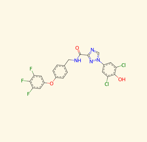 O=C(NCc1ccc(Oc2cc(F)c(F)c(F)c2)cc1)c1ncn(-c2cc(Cl)c(O)c(Cl)c2)n1